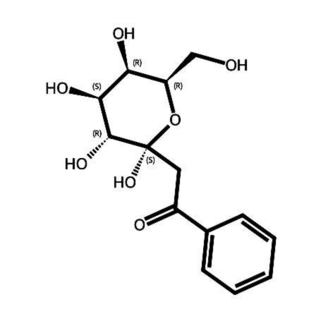 O=C(C[C@]1(O)O[C@H](CO)[C@H](O)[C@H](O)[C@H]1O)c1ccccc1